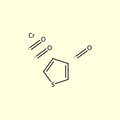 [C]=O.[C]=O.[C]=O.[Cr].c1ccsc1